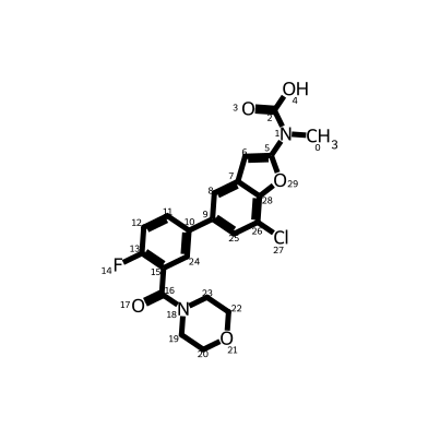 CN(C(=O)O)c1cc2cc(-c3ccc(F)c(C(=O)N4CCOCC4)c3)cc(Cl)c2o1